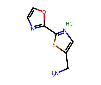 Cl.NCc1cnc(-c2ncco2)s1